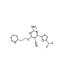 N#Cc1c(SCCc2ccccn2)nc(N)nc1-c1ccc(C(F)F)o1